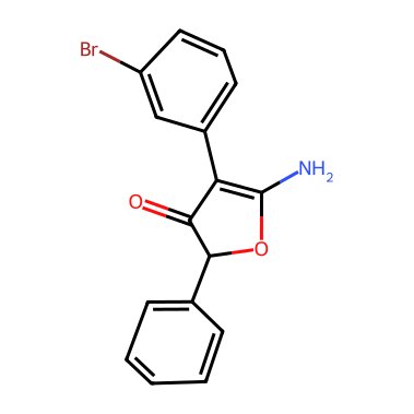 NC1=C(c2cccc(Br)c2)C(=O)C(c2ccccc2)O1